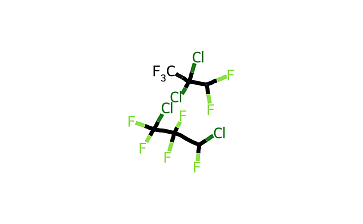 FC(Cl)C(F)(F)C(F)(F)Cl.FC(F)C(Cl)(Cl)C(F)(F)F